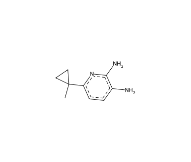 CC1(c2ccc(N)c(N)n2)CC1